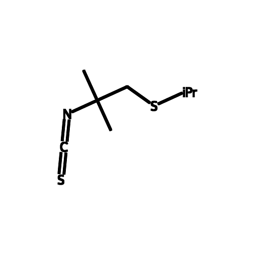 CC(C)SCC(C)(C)N=C=S